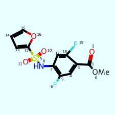 COC(=O)c1cc(F)c(NS(=O)(=O)c2ccco2)cc1F